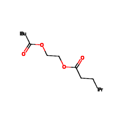 CCC(C)C(=O)OCCOC(=O)CCC(C)C